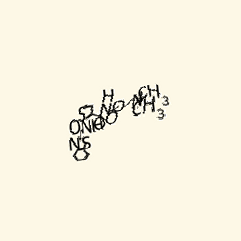 CN(C)CCOC(=O)NC(=O)c1ccsc1NC(=O)c1nc2ccccc2s1